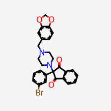 O=C1c2ccccc2C(=O)C1(c1cccc(Br)c1)N1CCN(Cc2ccc3c(c2)OCO3)CC1